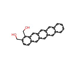 OCc1ccc2cc3cc4cc5ccccc5cc4cc3cc2c1CO